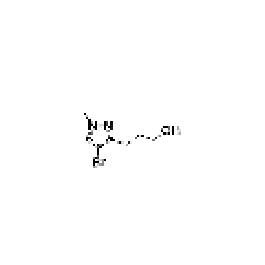 Cn1cc(Br)c(CCCO)n1